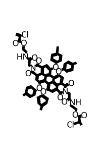 C=C(Cl)C(=O)OCCNC(=O)CN1C(=O)c2cc(Oc3ccc(C)cc3)c3c4c(Oc5ccc(C)cc5)cc5c6c(cc(Oc7ccc(C)cc7)c(c7c(Oc8ccc(C)cc8)cc(c2c37)C1=O)c64)C(=O)N(CC(=O)NCCOC(=O)C(C)Cl)C5=O